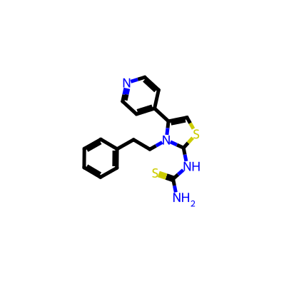 NC(=S)NC1SC=C(c2ccncc2)N1CCc1ccccc1